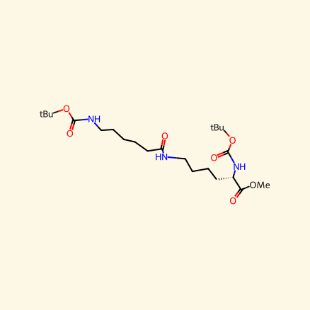 COC(=O)[C@H](CCCCNC(=O)CCCCCNC(=O)OC(C)(C)C)NC(=O)OC(C)(C)C